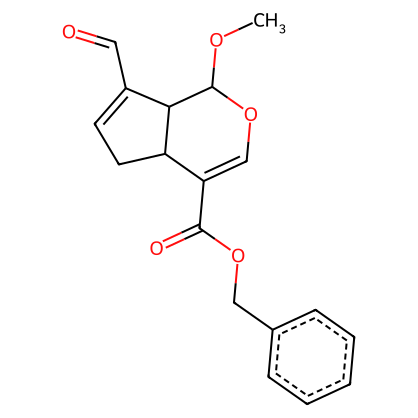 COC1OC=C(C(=O)OCc2ccccc2)C2CC=C(C=O)C12